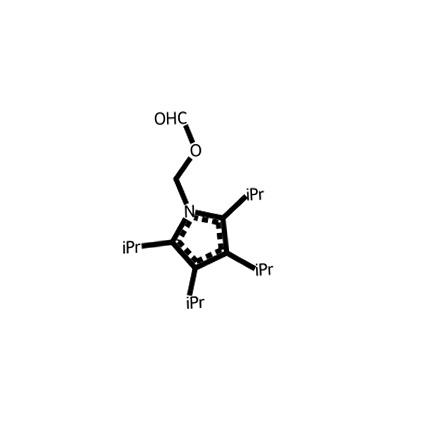 CC(C)c1c(C(C)C)c(C(C)C)n(COC=O)c1C(C)C